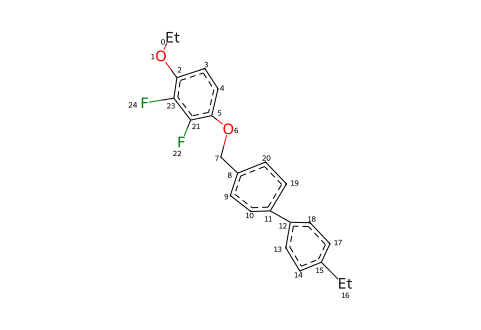 CCOc1ccc(OCc2ccc(-c3ccc(CC)cc3)cc2)c(F)c1F